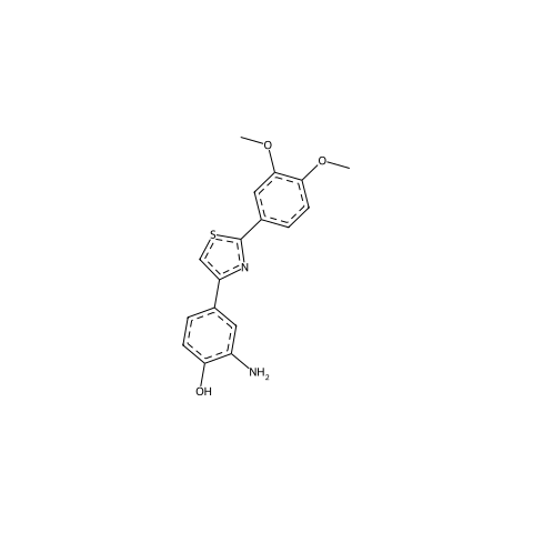 COc1ccc(-c2nc(-c3ccc(O)c(N)c3)cs2)cc1OC